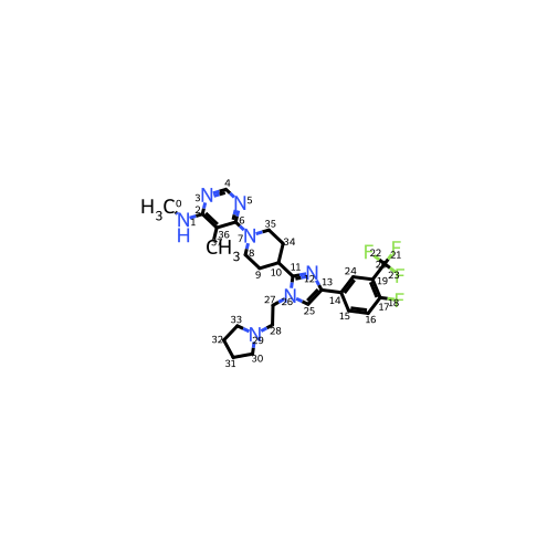 CNc1ncnc(N2CCC(c3nc(-c4ccc(F)c(C(F)(F)F)c4)cn3CCN3CCCC3)CC2)c1C